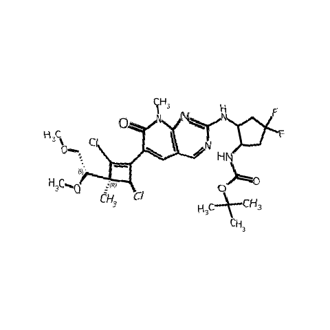 COC[C@@H](OC)[C@@]1(C)C(Cl)=C(c2cc3cnc(NC4CC(F)(F)CC4NC(=O)OC(C)(C)C)nc3n(C)c2=O)C1Cl